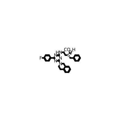 O=C(O)[C@H](C[S+]([O-])Cc1ccccc1)Nc1nc(-c2ccc(F)cc2)nc(N2CCc3ccccc3C2)n1